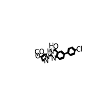 O=C(O)Oc1cnn(-c2nc3ccc(-c4ccc(Cl)cc4)cc3c(=O)[nH]2)c1